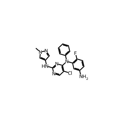 Cn1cc(Nc2ncc(Cl)c(N(c3ccccc3)c3cc(N)ccc3F)n2)cn1